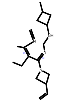 C=CC1CN(C(=N/CNC2CC(C)C2)/C(CC)=C(/C)N=C)C1